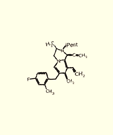 C=C=C1C2=C(C=C)C(=C)C(Cc3ccc(F)cc3C)=CN2CC(C)N1C(C)CCC